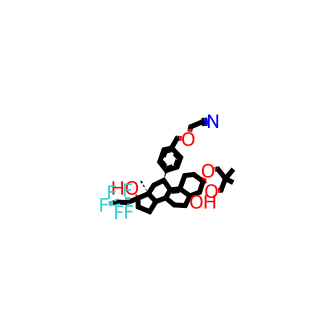 CC1(C)COC2(CCC3=C4C(CCC3(O)C2)C2CC[C@@](O)(C(F)(F)C(F)(F)F)[C@@]2(C)C[C@@H]4c2ccc(COCC#N)cc2)OC1